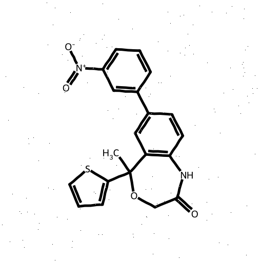 CC1(c2cccs2)OCC(=O)Nc2ccc(-c3cccc([N+](=O)[O-])c3)cc21